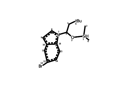 C[SiH](C)OC(CC(C)(C)C)n1ccc2cc(Br)ccc21